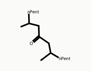 CCCCCC(C)CC(=O)CC(C)CCCCC